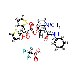 C[N+]12CCC(CC1)[C@@H](OC(=O)C(O)(c1cccs1)c1cccs1)C2C(=O)Nc1ccccc1.O=C([O-])C(F)(F)F